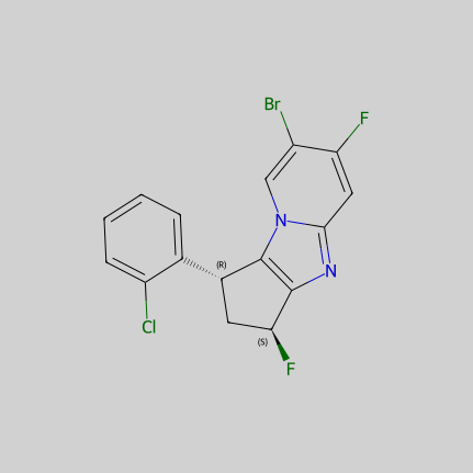 Fc1cc2nc3c(n2cc1Br)[C@@H](c1ccccc1Cl)C[C@@H]3F